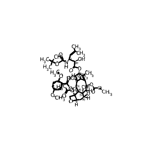 COC(=O)O[C@@H]1C2=C(C)[C@@H](OC(=O)[C@H](O)[C@H](C=C(C)C)NC(=O)OC(C)(C)C)C[C@@](O)([C@@H](OC(=O)c3cc(OC)ccc3OC)[C@@H]3[C@]4(OC(C)=O)CO[C@@H]4C[C@H]4O[C@@H]1[C@@]34C)C2(C)C